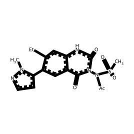 CCc1cc2[nH]c(=O)n(N(C(C)=O)S(C)(=O)=O)c(=O)c2cc1-c1ccnn1C